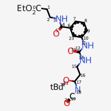 CCOC(=O)CCNC(=O)c1cccc(NC(=O)NCCC(N=C=O)OC(C)(C)C)c1